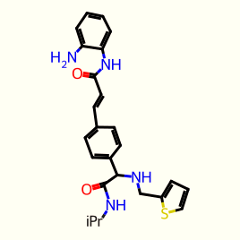 CC(C)NC(=O)C(NCc1cccs1)c1ccc(C=CC(=O)Nc2ccccc2N)cc1